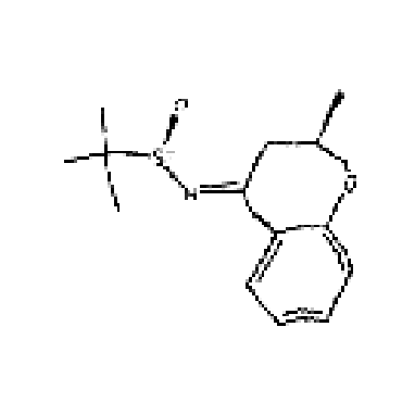 C[C@@H]1C/C(=N\[S@+]([O-])C(C)(C)C)c2ccccc2O1